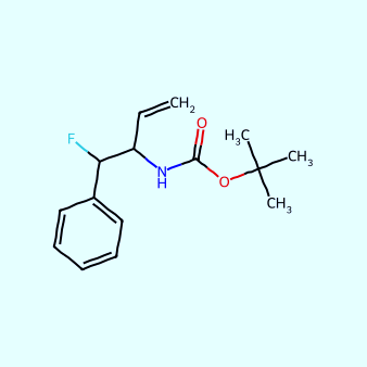 C=CC(NC(=O)OC(C)(C)C)C(F)c1ccccc1